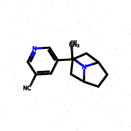 N#Cc1cncc(C2(C#N)CC3CCC(C2)N3CC(F)(F)F)c1